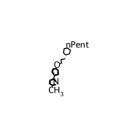 CCCCC[C@H]1CC[C@H](CCCOc2ccc(-c3ccc(C)cn3)cc2)CC1